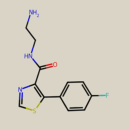 NCCNC(=O)c1ncsc1-c1ccc(F)cc1